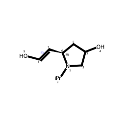 CC(C)N1CC(O)C[C@@H]1/C=C/O